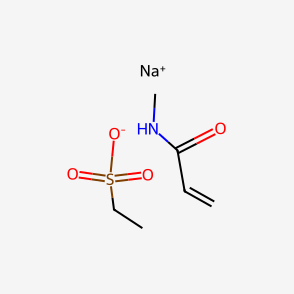 C=CC(=O)NC.CCS(=O)(=O)[O-].[Na+]